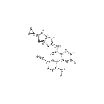 COc1ccc(C#N)cc1-c1cc(C)ncc1C(=O)Nc1nn2cc(C3CC3)nc2s1